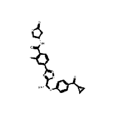 CC[C@@H](Oc1ccc(C(=O)C2CC2)cc1)c1nc(-c2ccc(C(=O)N[C@@H]3COC(=O)C3)c(F)c2)no1